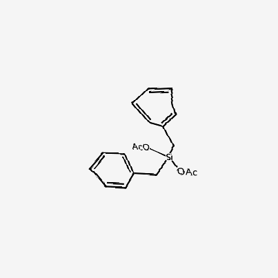 CC(=O)O[Si](Cc1ccccc1)(Cc1ccccc1)OC(C)=O